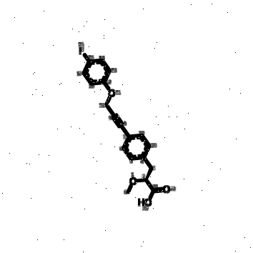 CO[C@@H](Cc1ccc(C#CCOc2ccc(F)cc2)cc1)C(=O)O